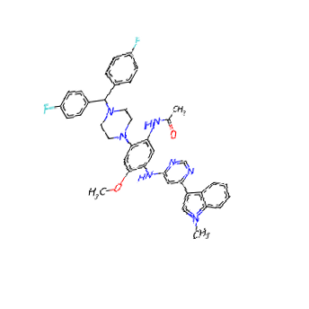 COc1cc(N2CCN(C(c3ccc(F)cc3)c3ccc(F)cc3)CC2)c(NC(C)=O)cc1Nc1cc(-c2cn(C)c3ccccc23)ncn1